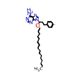 CCCCCCCCCCCCCCCCOC(CCc1cc[c]cc1)n1cnc2c(N)ncnc21